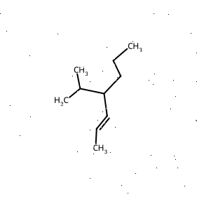 CC=CC(CCC)C(C)C